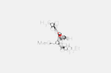 CCOC(=O)C(C)[C@H](C)COc1cc(CCCOC)cc(CN(C(=O)[C@@H]2CNCC[C@H]2c2ccc(OCCOc3c(Cl)cc(C)cc3Cl)cc2)C2CC2)c1